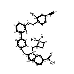 N#Cc1ccc(COc2cccc(-c3ccc(Cc4nc5ccc(C(=O)O)cc5n4CC4CCS4(O)O)cc3)n2)c(F)c1